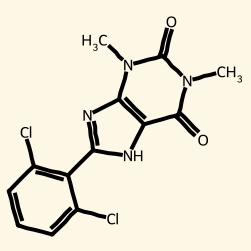 Cn1c(=O)c2[nH]c(-c3c(Cl)cccc3Cl)nc2n(C)c1=O